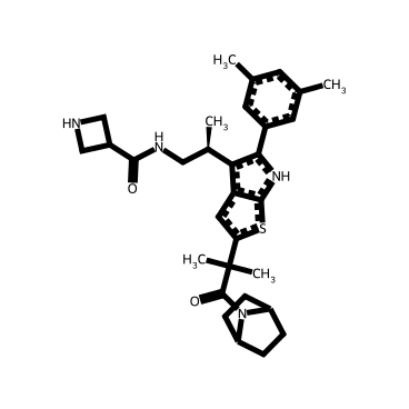 Cc1cc(C)cc(-c2[nH]c3sc(C(C)(C)C(=O)N4C5CCC4CC5)cc3c2[C@H](C)CNC(=O)C2CNC2)c1